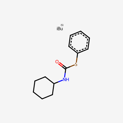 CC[C@H](C)c1cccc(SC(=O)NC2CCCCC2)c1